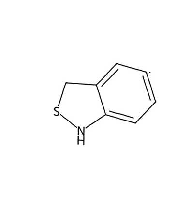 [c]1ccc2c(c1)CSN2